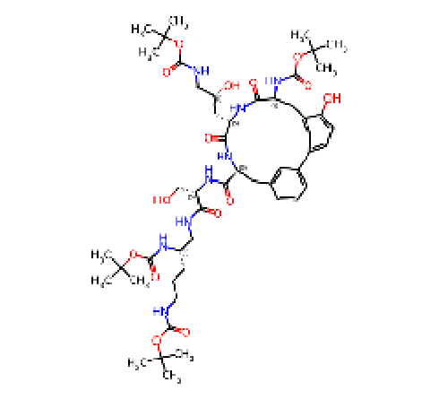 CC(C)(C)OC(=O)NCCC[C@@H](CNC(=O)[C@H](CO)NC(=O)[C@@H]1Cc2cccc(c2)-c2ccc(O)c(c2)C[C@H](NC(=O)OC(C)(C)C)C(=O)N[C@@H](C[C@@H](O)CNC(=O)OC(C)(C)C)C(=O)N1)NC(=O)OC(C)(C)C